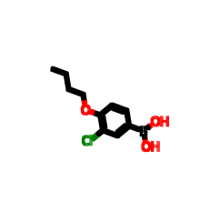 CCCCOc1ccc(B(O)O)cc1Cl